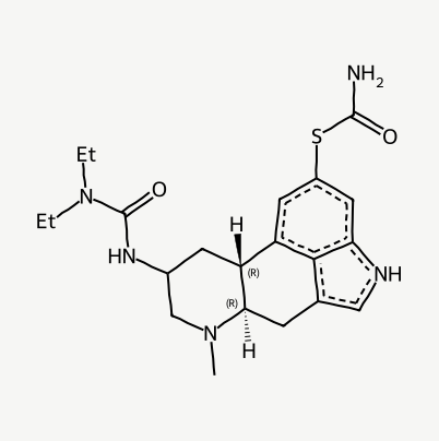 CCN(CC)C(=O)NC1C[C@@H]2c3cc(SC(N)=O)cc4[nH]cc(c34)C[C@H]2N(C)C1